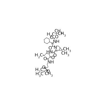 C=CCC(NC(=O)[C@@H]1C2C(CN1C(=O)[C@@H](NC(=O)OC(C)(C)C)C1CCCCC1)C2(C)C)C(=O)C(=O)NCCS(=O)(=O)C(C)(C)C